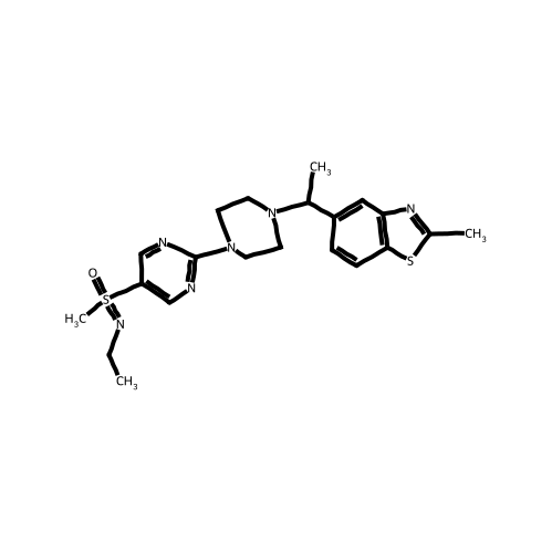 CCN=S(C)(=O)c1cnc(N2CCN(C(C)c3ccc4sc(C)nc4c3)CC2)nc1